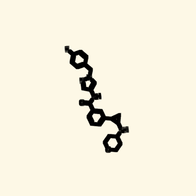 O=C(Nc1cnn(Cc2ccc(F)cc2)c1)c1cccc(C2CC2NC2CCOCC2)c1